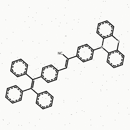 N#C/C(=C\c1ccc(C(=C(c2ccccc2)c2ccccc2)c2ccccc2)cc1)c1ccc(N2c3ccccc3Sc3ccccc32)cc1